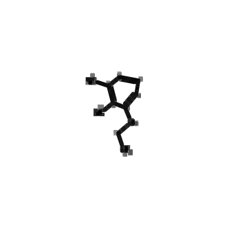 N#Cc1cccc(OCC(F)(F)F)c1C#N